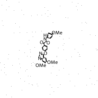 COc1ccc(NC(=O)C(=O)c2ccc(Oc3ncnc4cc(OC)c(OC)cc34)cc2)cc1